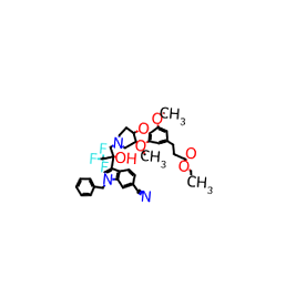 CCOC(=O)CCc1cc(OC)c(OC2CCN(CC(O)(c3cn(Cc4ccccc4)c4cc(C#N)ccc34)C(F)(F)F)CC2)c(OC)c1